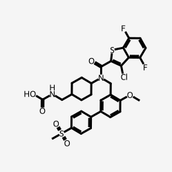 COc1ccc(-c2ccc(S(C)(=O)=O)cc2)cc1CN(C(=O)c1sc2c(F)ccc(F)c2c1Cl)C1CCC(CNC(=O)O)CC1